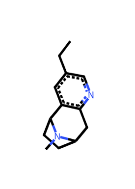 CCc1cnc2c(c1)C1CCC(C2)N1C